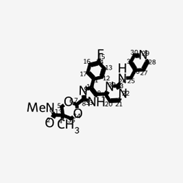 CNC(=O)C1(C)COC(c2nc(-c3ccc(F)cc3)c(-c3ccnc(NCc4ccncc4)n3)[nH]2)OC1